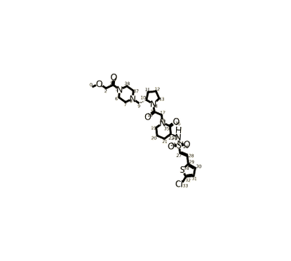 COCC(=O)N1CCN(C[C@@H]2CCCN2C(=O)CN2CCC[C@H](NS(=O)(=O)/C=C/c3ccc(Cl)s3)C2=O)CC1